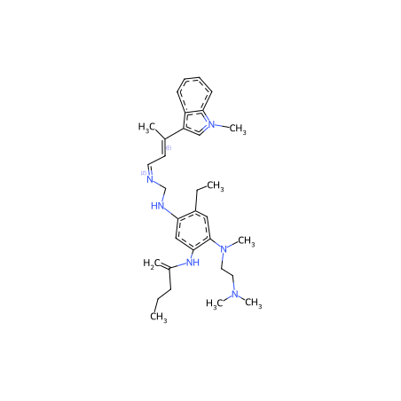 C=C(CCC)Nc1cc(NC/N=C\C=C(/C)c2cn(C)c3ccccc23)c(CC)cc1N(C)CCN(C)C